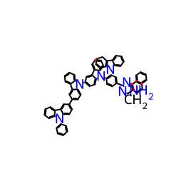 C=C(/N=C(\N=C(/N)c1ccccc1)c1ccc(-n2c3ccccc3c3cc(-n4c5ccccc5c5cc(-c6ccc7c(c6)c6ccccc6n7-c6ccccc6)ccc54)ccc32)c(-n2c3c(c4ccccc42)CCC=C3)c1)c1ccccc1